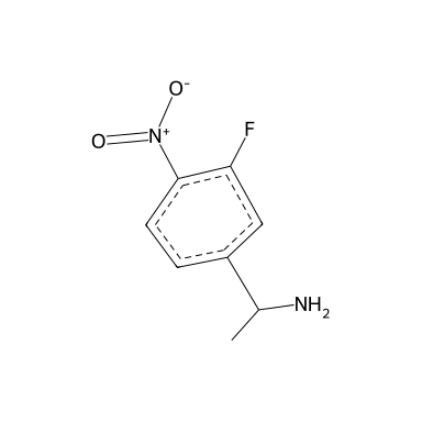 CC(N)c1ccc([N+](=O)[O-])c(F)c1